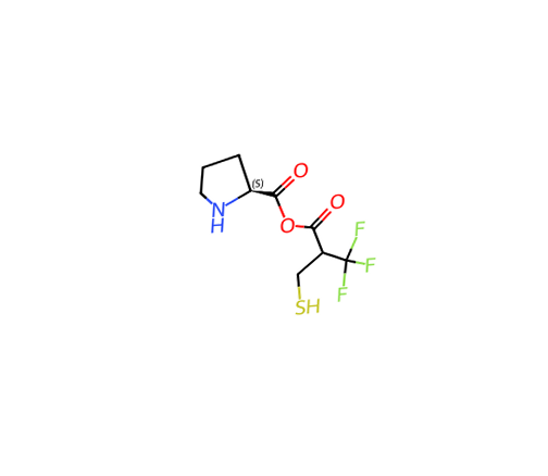 O=C(OC(=O)[C@@H]1CCCN1)C(CS)C(F)(F)F